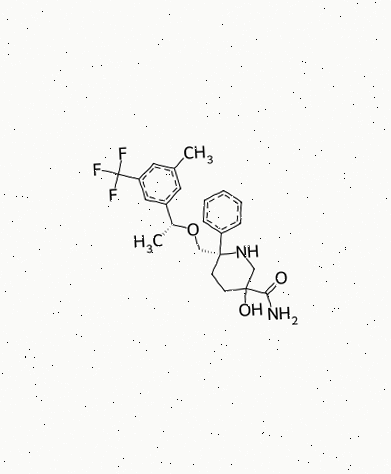 Cc1cc([C@@H](C)OC[C@@]2(c3ccccc3)CCC(O)(C(N)=O)CN2)cc(C(F)(F)F)c1